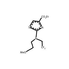 CCOC(=O)c1csc(N(CCOC)CC(F)(F)F)n1